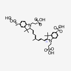 CC(C=C/C=C1/N(CCS(=O)(=O)O)c2ccc(S(=O)(=O)O)cc2C1(C)C)=CC=CC1N(CCS(=O)(=O)O)c2ccc(SOOO)cc2C1(C)C